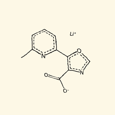 Cc1cccc(-c2ocnc2C(=O)[O-])n1.[Li+]